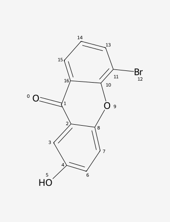 O=c1c2cc(O)ccc2oc2c(Br)cccc12